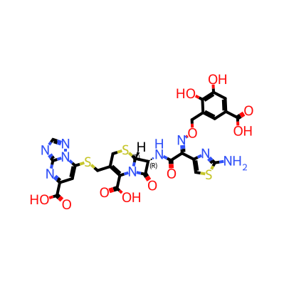 Nc1nc(C(=NOCc2cc(C(=O)O)cc(O)c2O)C(=O)N[C@@H]2C(=O)N3C(C(=O)O)=C(CSc4cc(C(=O)O)nc5ncnn45)CS[C@H]23)cs1